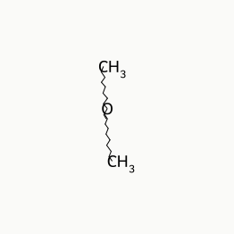 CCCCCCCCC=COCCCCCCCC